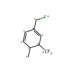 CC1C=CC(CF)=CC1C(F)(F)F